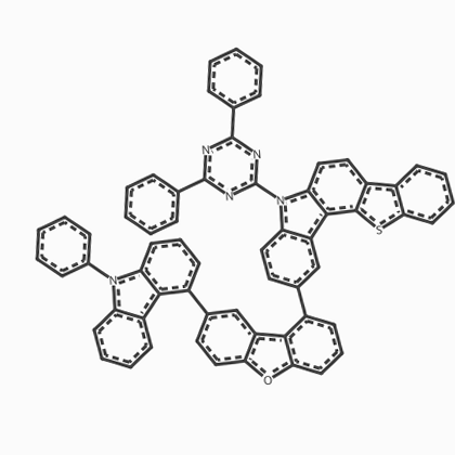 c1ccc(-c2nc(-c3ccccc3)nc(-n3c4ccc(-c5cccc6oc7ccc(-c8cccc9c8c8ccccc8n9-c8ccccc8)cc7c56)cc4c4c5sc6ccccc6c5ccc43)n2)cc1